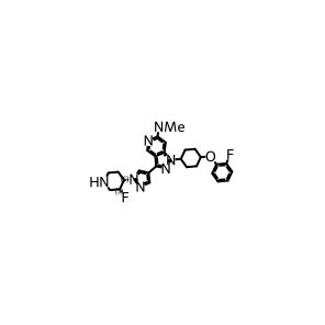 CNc1cc2c(cn1)c(-c1cnn([C@H]3CCNC[C@@H]3F)c1)nn2C1CCC(Oc2ccccc2F)CC1